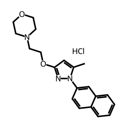 Cc1cc(OCCN2CCOCC2)nn1-c1ccc2ccccc2c1.Cl